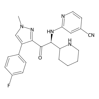 Cn1cc(-c2ccc(F)cc2)c(C(=O)[C@@H](Nc2cc(C#N)ccn2)C2CCCCN2)n1